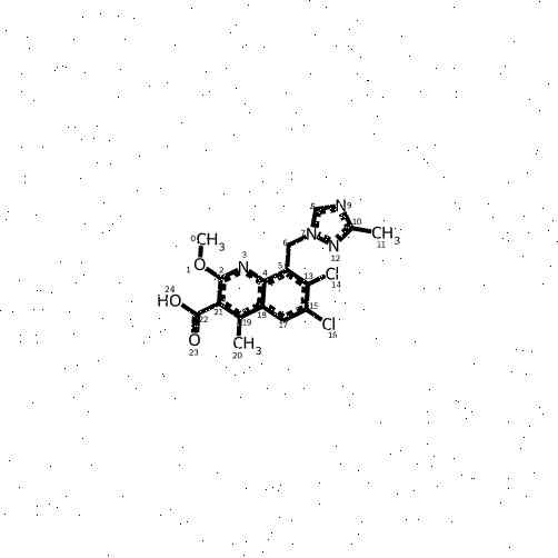 COc1nc2c(Cn3cnc(C)n3)c(Cl)c(Cl)cc2c(C)c1C(=O)O